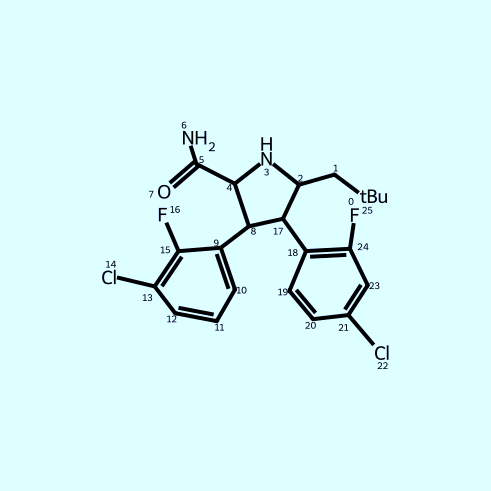 CC(C)(C)CC1NC(C(N)=O)C(c2cccc(Cl)c2F)C1c1ccc(Cl)cc1F